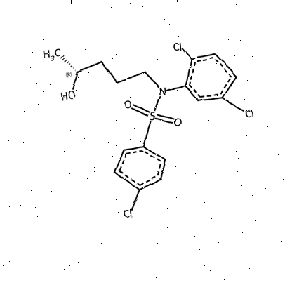 C[C@@H](O)CCCN(c1cc(Cl)ccc1Cl)S(=O)(=O)c1ccc(Cl)cc1